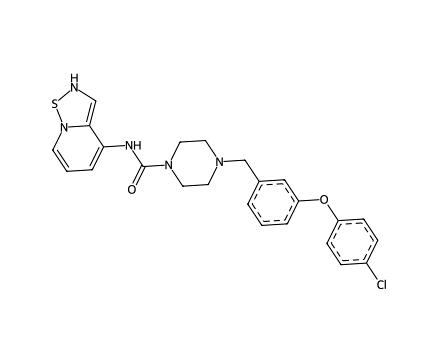 O=C(NC1=CC=CN2SNC=C12)N1CCN(Cc2cccc(Oc3ccc(Cl)cc3)c2)CC1